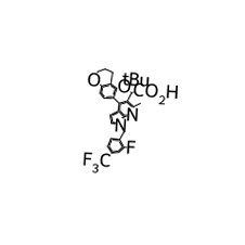 Cc1nc2c(ccn2Cc2ccc(C(F)(F)F)cc2F)c(-c2ccc3c(c2)CCCO3)c1C(OC(C)(C)C)C(=O)O